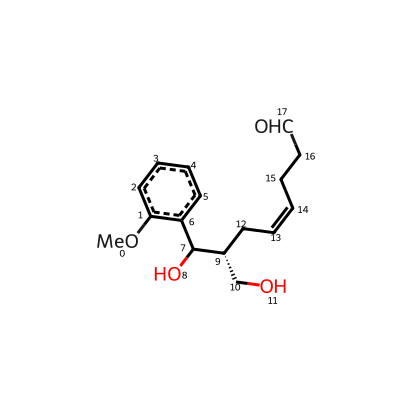 COc1ccccc1C(O)[C@@H](CO)C/C=C\CCC=O